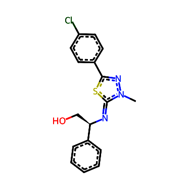 Cn1nc(-c2ccc(Cl)cc2)sc1=N[C@H](CO)c1ccccc1